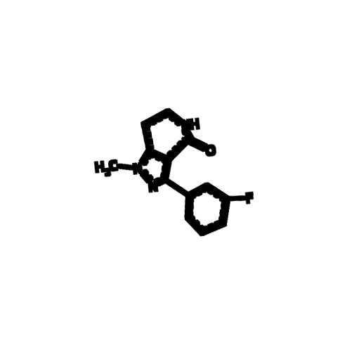 Cn1nc(-c2cccc(F)c2)c2c(=O)[nH]ccc21